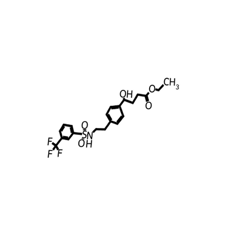 CCOC(=O)CCC(O)c1ccc(CCNS(=O)(=O)c2cccc(C(F)(F)F)c2)cc1